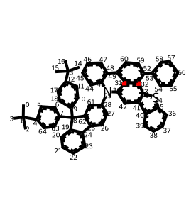 CC(C)(C)c1ccc(C2(c3ccc(C(C)(C)C)cc3)c3ccccc3-c3ccc(N(c4ccc5sc6ccccc6c5c4)c4ccccc4-c4ccc(-c5ccccc5)cc4)cc32)cc1